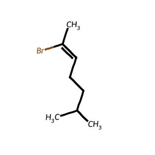 C/C(Br)=C/CCC(C)C